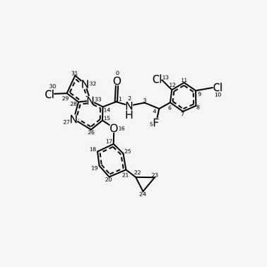 O=C(NCC(F)c1ccc(Cl)cc1Cl)c1c(Oc2cccc(C3CC3)c2)cnc2c(Cl)cnn12